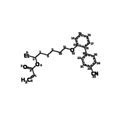 C=CC(=O)OC(CC)CCCCCOc1ccccc1-c1ccc(C#N)cc1